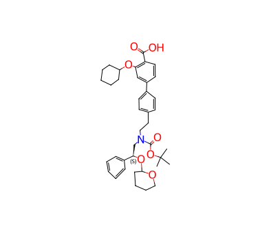 CC(C)(C)OC(=O)N(CCc1ccc(-c2ccc(C(=O)O)c(OC3CCCCC3)c2)cc1)C[C@@H](OC1CCCCO1)c1ccccc1